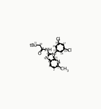 Cc1ccc2nc(NC(=O)CC(C)(C)C)n(-c3cc(Cl)cc(Cl)c3)c2n1